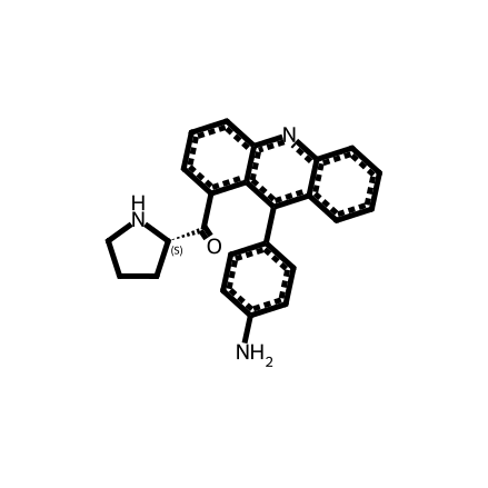 Nc1ccc(-c2c3ccccc3nc3cccc(C(=O)[C@@H]4CCCN4)c23)cc1